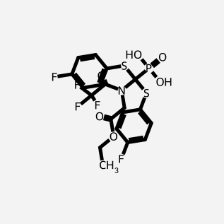 CCOC(=O)CN(C(=O)C(F)(F)F)C(Sc1ccc(F)cc1)(Sc1ccc(F)cc1)P(=O)(O)O